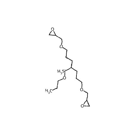 CCCO[SiH2]C(CCCOCC1CO1)CCCOCC1CO1